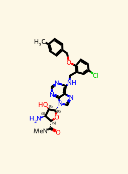 CNC(=O)[C@H]1O[C@@H](n2cnc3c(NCc4cc(Cl)ccc4OCc4ccc(C)cc4)ncnc32)[C@H](O)[C@@H]1N